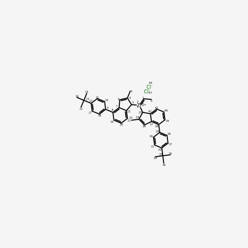 C[CH]=[Zr+2]([CH]1C(C)=Cc2c(-c3ccc(C(C)(C)C)cc3)cccc21)[CH]1C(C)=Cc2c(-c3ccc(C(C)(C)C)cc3)cccc21.[Cl-].[Cl-]